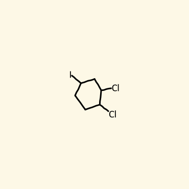 ClC1CCC(I)CC1Cl